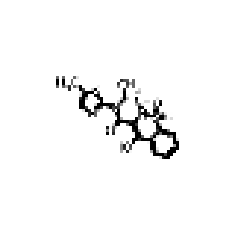 CCN(C(=O)C1=C(O)c2ccccc2S(=O)(=O)N1C)c1ncc(C)s1